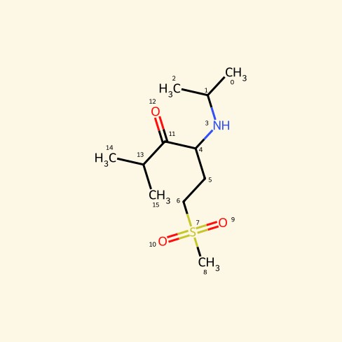 CC(C)NC(CCS(C)(=O)=O)C(=O)C(C)C